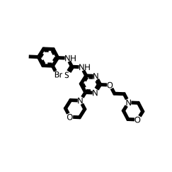 Cc1ccc(NC(=S)Nc2cc(N3CCOCC3)nc(OCCN3CCOCC3)n2)c(Br)c1